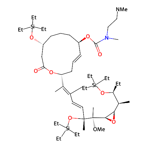 CC[C@H](O[Si](CC)(CC)CC)[C@@H](C)[C@H]1O[C@H]1[C@@](C)(OC)[C@@](C)(/C=C/C(C)=C(\C)[C@H]1C/C=C/[C@H](OC(=O)N(C)CCNC)CCC[C@@H](O[Si](CC)(CC)CC)CC(=O)O1)O[Si](CC)(CC)CC